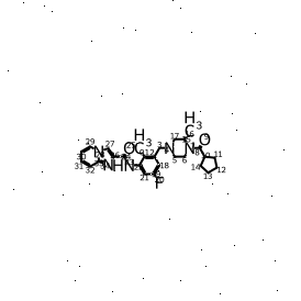 Cc1c(CN2CCN(C(=O)C3CCCC3)C(C)C2)cc(F)cc1NC(=O)c1cn2ccccc2n1